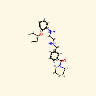 CCC(CC)Oc1ccccc1NCCNCc1cccc(C(=O)N2CCCCC2)c1